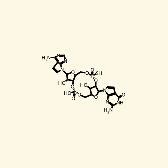 Nc1nc2c(ccn2C2OC3COP(=O)(O)OC4C(COP(=O)(S)OC2C3O)OC(n2ccc3c(N)ncnc32)C4O)c(=O)[nH]1